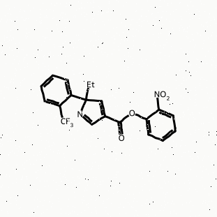 CCC1(c2ccccc2C(F)(F)F)C=C(C(=O)Oc2ccccc2[N+](=O)[O-])C=N1